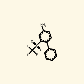 Nc1ccc(-c2ccccc2)c(S(=O)(=O)C(F)(F)F)c1